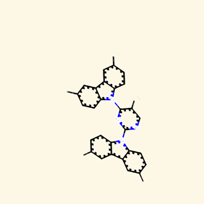 CC(C)(C)c1ccc2c(c1)c1cc(C(C)(C)C)ccc1n2-c1ncc(C#N)c(-n2c3ccc(C(C)(C)C)cc3c3cc(C(C)(C)C)ccc32)n1